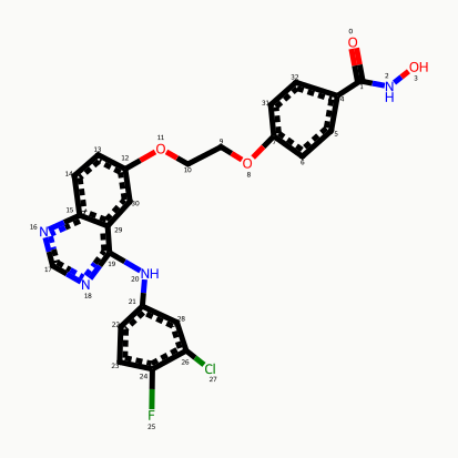 O=C(NO)c1ccc(OCCOc2ccc3ncnc(Nc4ccc(F)c(Cl)c4)c3c2)cc1